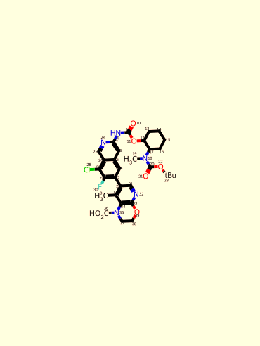 Cc1c(-c2cc3cc(NC(=O)OC4CCCCC4N(C)C(=O)OC(C)(C)C)ncc3c(Cl)c2F)cnc2c1N(C(=O)O)CCO2